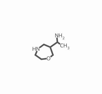 CC(N)C1CNCCOC1